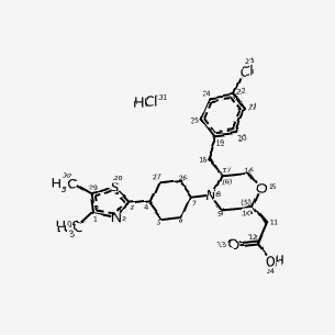 Cc1nc(C2CCC(N3C[C@H](CC(=O)O)OC[C@@H]3Cc3ccc(Cl)cc3)CC2)sc1C.Cl